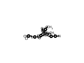 COC(=O)[C@H](Cc1ccc(-c2ccc(C#N)cc2)cc1)NC(=O)[C@@H]1Cc2cc3c(cc2CN1S(=O)(=O)c1ccc(OC)cc1[N+](=O)[O-])O[C@@H](c1ccc(OCc2ccc(Cl)c(Cl)c2)cc1)CO3